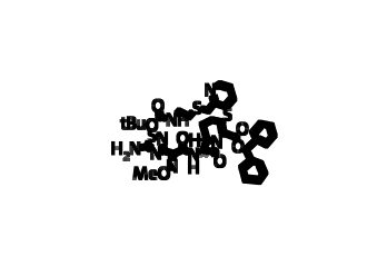 CON=C(C(=O)N[C@@H]1C(=O)N2C(C(=O)OC(c3ccccc3)c3ccccc3)=C(Sc3cccnc3CSCCNC(=O)OC(C)(C)C)CC[C@H]12)c1nsc(N)n1